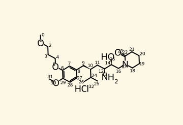 COCCCOc1cc(C[C@@H](C[C@H](N)[C@@H](O)CN2CCCCC2=O)C(C)C)ccc1OC.Cl